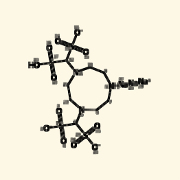 O=S(=O)([O-])C(N1CCNCCN(C(S(=O)(=O)[O-])S(=O)(=O)O)CC1)S(=O)(=O)[O-].[Na+].[Na+].[Na+]